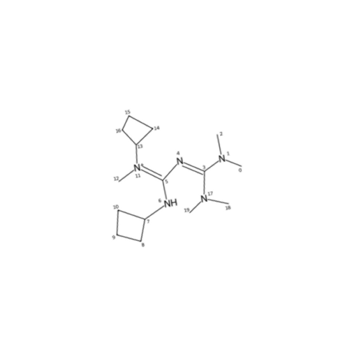 CN(C)C(=N/C(NC1CCC1)=[N+](/C)C1CCC1)N(C)C